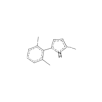 Cc1ccc(-c2c(C)cccc2C)[nH]1